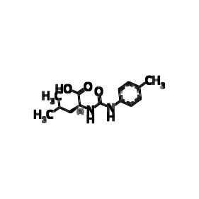 Cc1ccc(NC(=O)N[C@@H](CC(C)C)C(=O)O)cc1